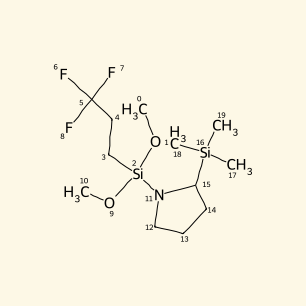 CO[Si](CCC(F)(F)F)(OC)N1CCCC1[Si](C)(C)C